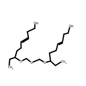 CCC(CCC=CCCO)OCOCOC(CC)CCC=CCCO